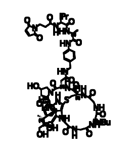 CC[C@H](C)[C@@H]1NC(=O)CNC(=O)C2Cc3c([nH]c4ccccc34)SC[C@@H](NC(=O)CNC1=O)C(=O)N[C@@H](CC(=O)NCc1ccc(NC(=O)[C@H](C)NC(=O)C(NC(=O)CCN3C(=O)C=CC3=O)C(C)C)cc1)C(=O)N1CC(O)C[C@H]1C(=O)N[C@@H]([C@@H](C)[C@@H](O)CO)C(=O)N2